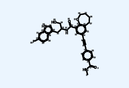 CNC(=O)c1ccc(C#Cc2cc3c(c(C(=O)NC(CO)Cc4c[nH]c5cc(F)ccc45)c2)OCCCC3)cc1